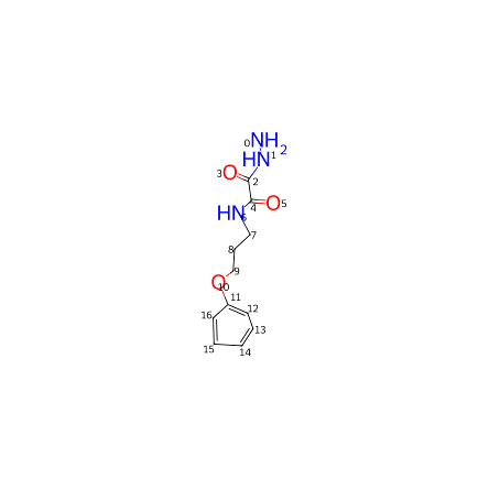 NNC(=O)C(=O)NCCCOc1ccccc1